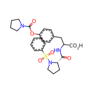 O=C(O)C(Cc1ccc(OC(=O)N2CCCC2)cc1)NC(=O)[C@@H]1CCCN1S(=O)(=O)c1ccccc1